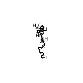 CC/C=C\C/C=C\C/C=C\C/C=C\C/C=C\C/C=C\CCC(=O)NCCNC(=O)c1ccccc1Nc1c(Cl)ccc(C)c1Cl